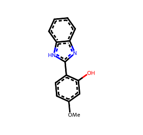 COc1ccc(-c2nc3ccccc3[nH]2)c(O)c1